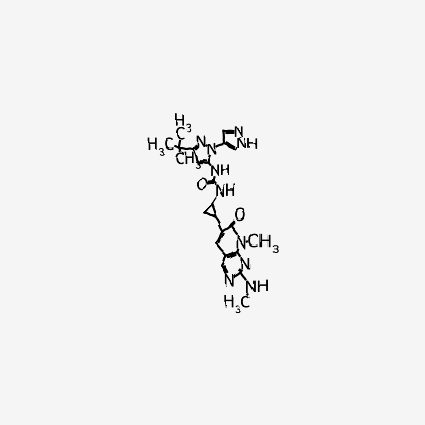 CNc1ncc2cc(C3CC3NC(=O)Nc3cc(C(C)(C)C)nn3-c3cn[nH]c3)c(=O)n(C)c2n1